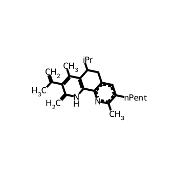 C=C(C)C1=C(C)C2=C(NC1=C)c1nc(C)c(CCCCC)cc1CC2C(C)C